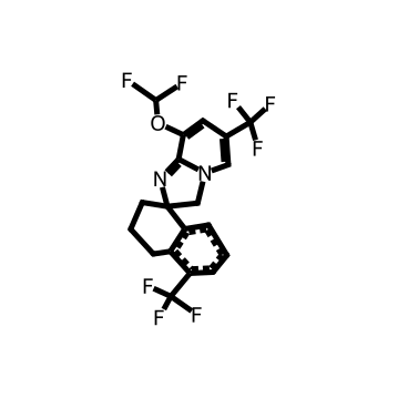 FC(F)OC1=CC(C(F)(F)F)=CN2CC3(CCCc4c(C(F)(F)F)cccc43)N=C12